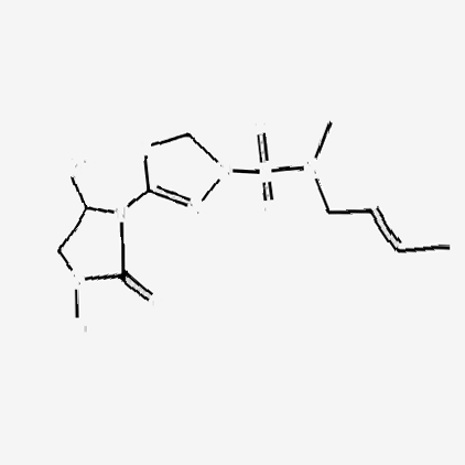 CC=CCN(C)S(=O)(=O)N1CSC(N2C(=O)N(CC)CC2OC(C)=O)=N1